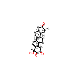 C[C@@H]1C[C@@H]2[C@@](C)(CC[C@]3(C)C4=CC=C5C(=CC(=O)C(=O)[C@]5(C)O)[C@]4(C)CC[C@@]23C)CC1=O